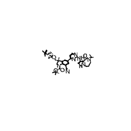 CC(C)N1CCCn2ncc(Nc3nccc(-c4cc(C#N)c5c(c4)[C@@](C)(CO[Si](C)(C)C(C)(C)C)CN5C(=O)OC(C)(C)C)n3)c2C1=O